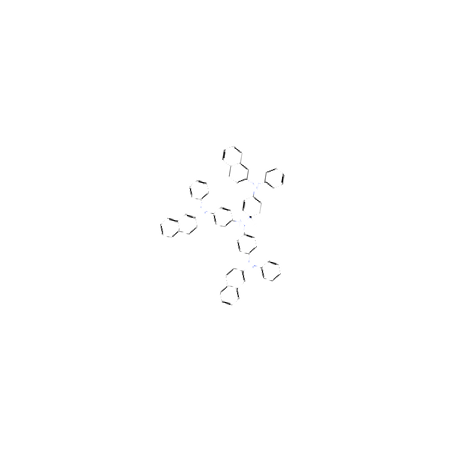 CC1(N(c2ccc(N(c3ccccc3)c3ccc4ccccc4c3)cc2)c2ccc(N(c3ccccc3)c3ccc4ccccc4c3)cc2)C=CC(N(C2=CCC3C=CC=CC3=C2)c2ccccc2)=CC1